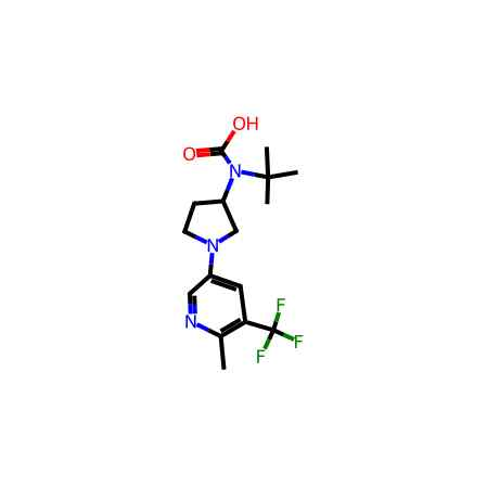 Cc1ncc(N2CCC(N(C(=O)O)C(C)(C)C)C2)cc1C(F)(F)F